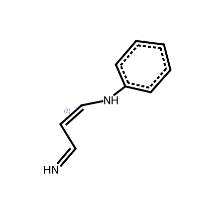 N=C/C=C\Nc1ccccc1